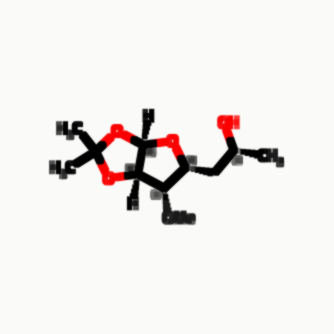 CO[C@@H]1[C@H]2OC(C)(C)O[C@H]2O[C@@H]1C[C@@H](C)O